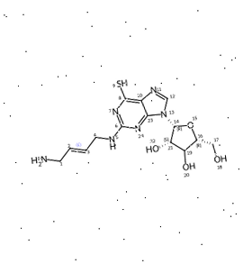 NC/C=C/CNc1nc(S)c2ncn([C@@H]3O[C@H](CO)C(O)[C@@H]3O)c2n1